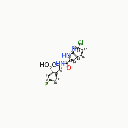 O=C(NC(Cc1ccc(F)cc1)C(=O)O)c1cc2ccc(Cl)nc2[nH]1